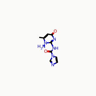 Cc1cc(=O)nc(NC(=O)n2ccnc2)n1N